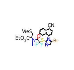 CCOC(=O)C(CSC)NC(=O)C(F)(F)Sc1ncc(Br)n1-c1ccc(C#N)c2ccccc12